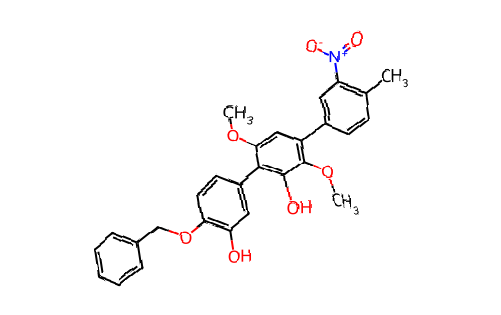 COc1cc(-c2ccc(C)c([N+](=O)[O-])c2)c(OC)c(O)c1-c1ccc(OCc2ccccc2)c(O)c1